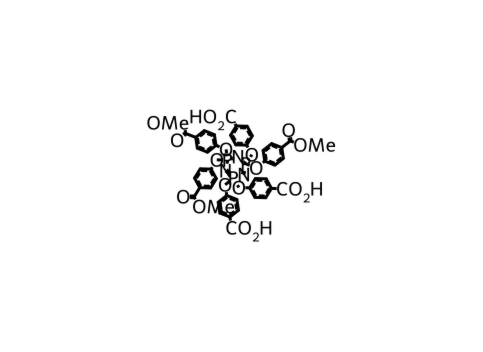 COC(=O)c1ccc(OP2(Oc3ccc(C(=O)O)cc3)=NP(Oc3ccc(C(=O)O)cc3)(Oc3ccc(C(=O)O)cc3)=NP(Oc3ccc(C(=O)OC)cc3)(Oc3ccc(C(=O)OC)cc3)=N2)cc1